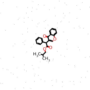 CC(C)COC(=O)C(c1ccccc1)c1coc2ccccc2c1=O